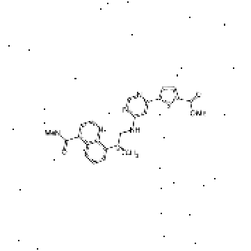 CNC(=O)c1ccnc2c([C@H](C)CNc3cc(-c4ccc(C(=O)OC)s4)ncn3)cccc12